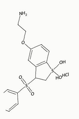 Cl.NCCOc1ccc2c(c1)C(S(=O)(=O)c1ccccc1)CS2(O)O